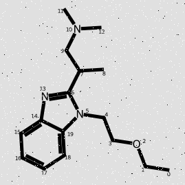 CCOCCn1c(C(C)CN(C)C)nc2ccccc21